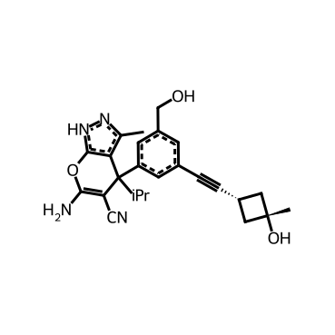 Cc1n[nH]c2c1C(c1cc(C#C[C@H]3C[C@@](C)(O)C3)cc(CO)c1)(C(C)C)C(C#N)=C(N)O2